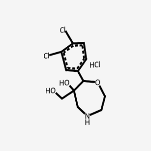 Cl.OCC1(O)CNCCOC1c1ccc(Cl)c(Cl)c1